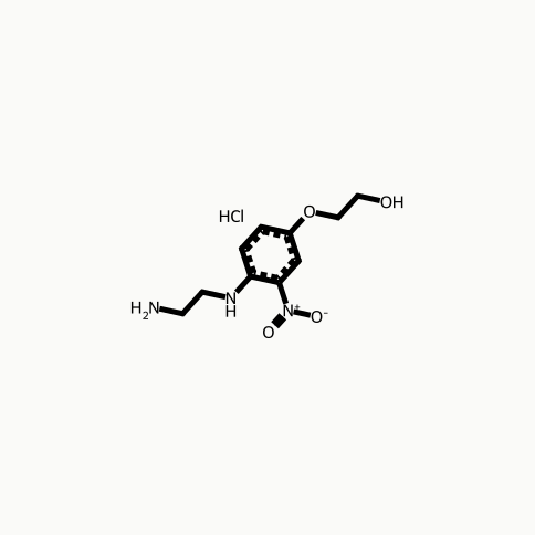 Cl.NCCNc1ccc(OCCO)cc1[N+](=O)[O-]